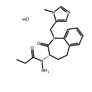 CCC(=O)N(N)[C@H]1CCc2ccccc2N(Cc2cncn2C)C1=O.Cl